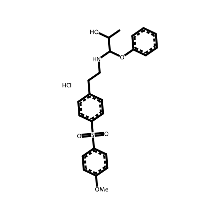 COc1ccc(S(=O)(=O)c2ccc(CCNC(Oc3ccccc3)C(C)O)cc2)cc1.Cl